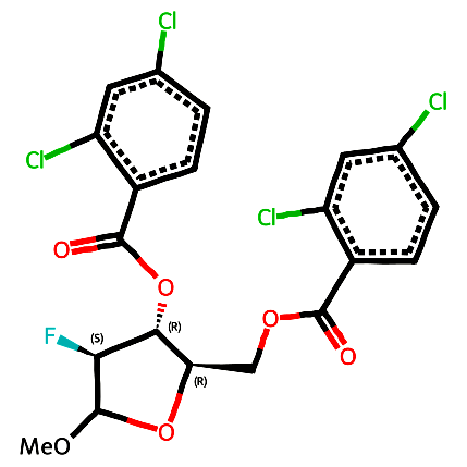 COC1O[C@H](COC(=O)c2ccc(Cl)cc2Cl)[C@@H](OC(=O)c2ccc(Cl)cc2Cl)[C@@H]1F